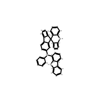 c1ccc(N(c2ccc3c(c2)C2(c4ccccc4Oc4ccccc42)c2ccccc2-3)c2cccc3c2oc2ccccc23)cc1